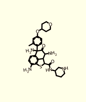 Cc1cc(OC2CCOCC2)ccc1C1(N)C(=O)C(N)C2c3c1ccc(N)c3SC2C(=O)NC1CCCNC1